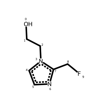 OCCn1ccnc1CF